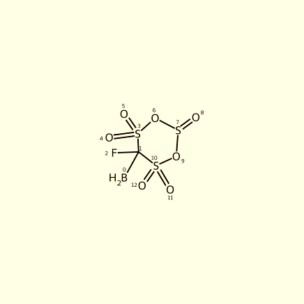 BC1(F)S(=O)(=O)OS(=O)OS1(=O)=O